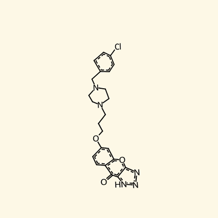 O=c1c2ccc(OCCCN3CCN(Cc4ccc(Cl)cc4)CC3)cc2oc2nn[nH]c12